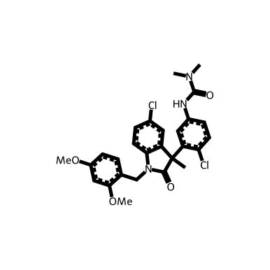 COc1ccc(CN2C(=O)C(C)(c3cc(NC(=O)N(C)C)ccc3Cl)c3cc(Cl)ccc32)c(OC)c1